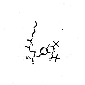 CCCCCOC(=O)OC(C)CN[C@@H](Cc1ccc(OC(=O)C(C)(C)C)c(OC(=O)C(C)(C)C)c1)C(=O)O